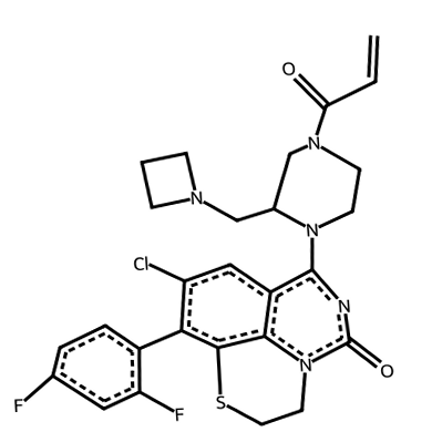 C=CC(=O)N1CCN(c2nc(=O)n3c4c(c(-c5ccc(F)cc5F)c(Cl)cc24)SCC3)C(CN2CCC2)C1